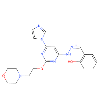 Cc1ccc(O)c(/C=N\Nc2cc(-n3ccnc3)nc(OCCN3CCOCC3)n2)c1